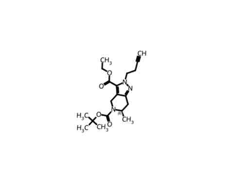 C#CCCn1nc2c(c1C(=O)OCC)CN(C(=O)OC(C)(C)C)[C@H](C)C2